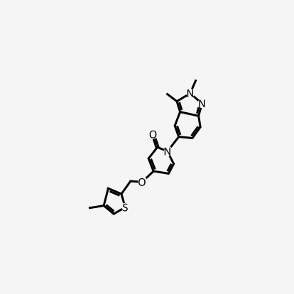 Cc1csc(COc2ccn(-c3ccc4nn(C)c(C)c4c3)c(=O)c2)c1